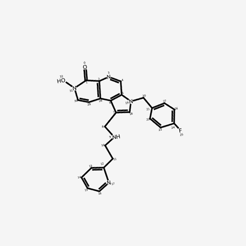 O=c1c2ncc3c(c(CNCCc4ccccn4)cn3Cc3ccc(F)cc3)c2ccn1O